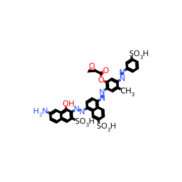 Cc1cc(N=Nc2ccc(N=Nc3c(S(=O)(=O)O)cc4ccc(N)cc4c3O)c3cc(S(=O)(=O)O)ccc23)c(OC(=O)C2CO2)cc1N=Nc1cccc(S(=O)(=O)O)c1